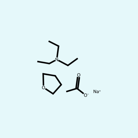 C1CCOC1.CC(=O)[O-].CCN(CC)CC.[Na+]